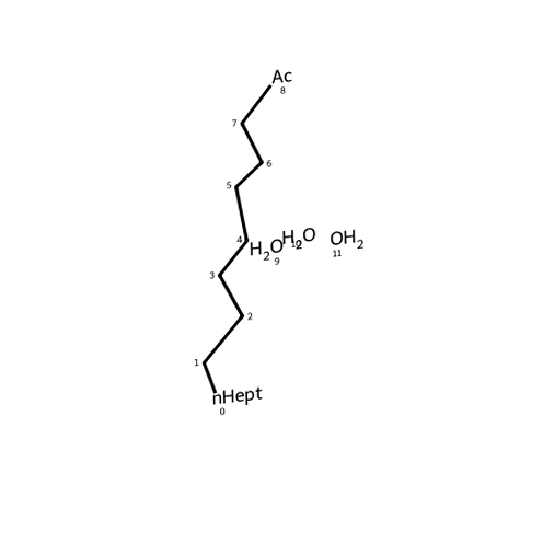 CCCCCCCCCCCCCCC(C)=O.O.O.O